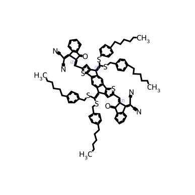 CCCCCCc1ccc(CSC(SCc2ccc(CCCCCC)cc2)=C2c3cc4c(cc3-c3sc(/C=C5\C(=O)c6ccccc6C5=C(C#N)C#N)cc32)/C(=C(\SCc2ccc(CCCCCC)cc2)Sc2ccc(CCCCCC)cc2)c2cc(/C=C3\C(=O)c5ccccc5C3=C(C#N)C#N)sc2-4)cc1